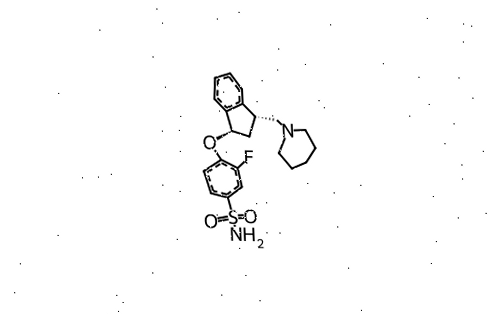 NS(=O)(=O)c1ccc(O[C@@H]2C[C@@H](CN3CCCCC3)c3ccccc32)c(F)c1